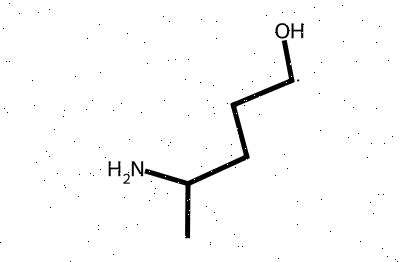 CC(N)CC[CH]O